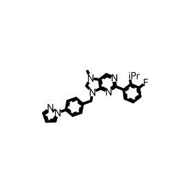 CC(C)c1c(F)cccc1-c1ncc2c(n1)N(Cc1ccc(-n3cccn3)cc1)CN2C